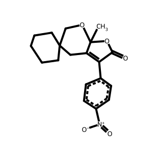 CC12OCC3(CCCCC3)CC1=C(c1ccc([N+](=O)[O-])cc1)C(=O)O2